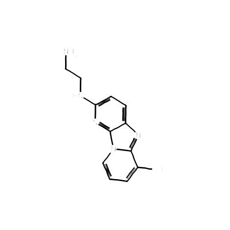 Cc1cccn2c1nc1ccc(NCCN)nc12